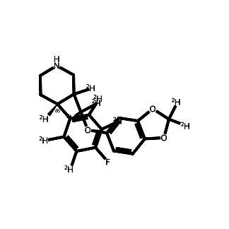 [2H]c1c([2H])c([C@]2([2H])CCNCC2([2H])C([2H])([2H])Oc2ccc3c(c2)OC([2H])([2H])O3)c([2H])c([2H])c1F